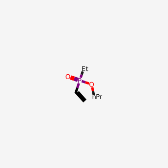 C=CP(=O)(CC)OCCC